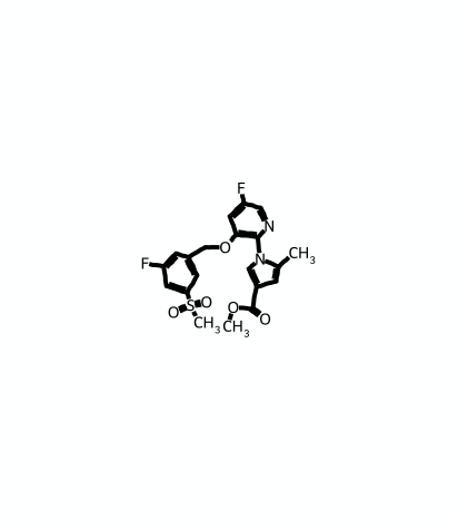 COC(=O)c1cc(C)n(-c2ncc(F)cc2OCc2cc(F)cc(S(C)(=O)=O)c2)c1